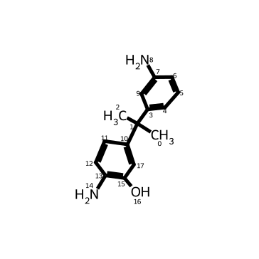 CC(C)(c1cccc(N)c1)c1ccc(N)c(O)c1